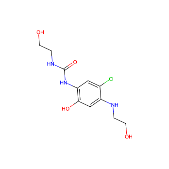 O=C(NCCO)Nc1cc(Cl)c(NCCO)cc1O